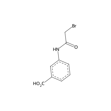 O=C(CBr)Nc1cccc(C(=O)O)c1